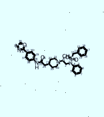 C[C@H](CN(c1ccccc1)S(=O)(=O)Cc1ccccc1)N1CCC(CC(=O)Nc2ccc(-c3nnco3)cc2)CC1